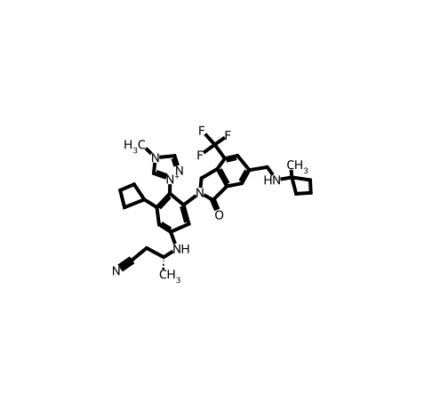 C[C@H](CC#N)Nc1cc(C2CCC2)c(-[n+]2cn(C)cn2)c(N2Cc3c(cc(CNC4(C)CCC4)cc3C(F)(F)F)C2=O)c1